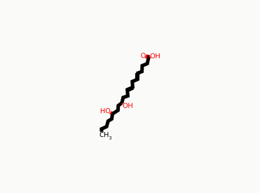 CCCCCC(O)CCC(O)CCC=CCC=CCCCC(=O)O